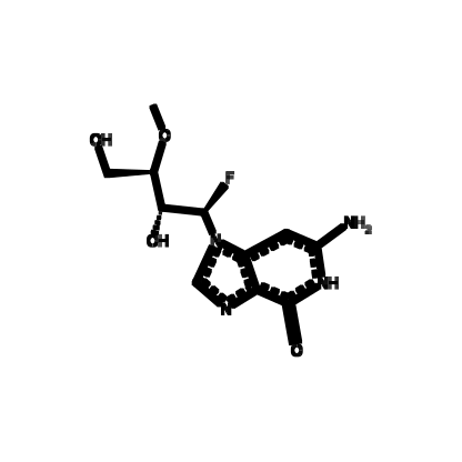 CO[C@H](CO)[C@@H](O)[C@@H](F)n1cnc2c(=O)[nH]c(N)cc21